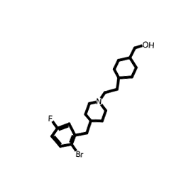 OCC1CCC(CCN2CCC(Cc3cc(F)ccc3Br)CC2)CC1